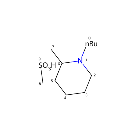 CCCCN1CCCCC1C.CS(=O)(=O)O